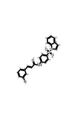 O=C(C=Cc1cccc(Br)c1)Nc1ccc(S(=O)(=O)n2ccc3ccccc32)cc1